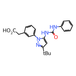 CC(C)(C)c1cc(NC(=O)Nc2ccccc2)n(-c2cccc(CC(=O)O)c2)n1